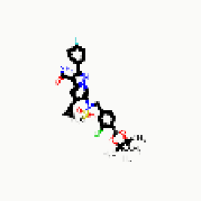 CC1(C)OB(c2ccc(CN(c3cn4nc(-c5ccc(F)cc5)c(C(N)=O)c4cc3C3CC3)S(C)(=O)=O)cc2Cl)OC1(C)C